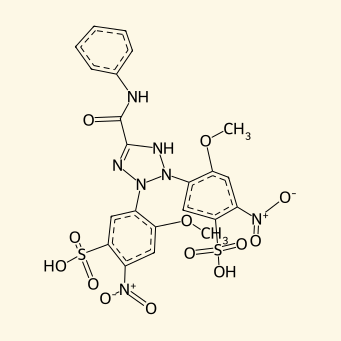 COc1cc([N+](=O)[O-])c(S(=O)(=O)O)cc1N1N=C(C(=O)Nc2ccccc2)NN1c1cc(S(=O)(=O)O)c([N+](=O)[O-])cc1OC